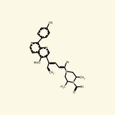 C=C/C(=C\C=C(/C(C)C)N1CC(C)N(C(=O)CC)C(C)C1)c1cnc2c(-c3ccc(C#N)cc3)nccc2c1OC